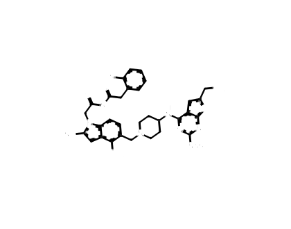 C=C(Cn1c(C#N)cc2c(C)c(CN3CCC(Nc4nc(NC)nc5sc(CC(F)(F)F)cc45)CC3)ccc21)NC(=O)Cc1ccccc1N